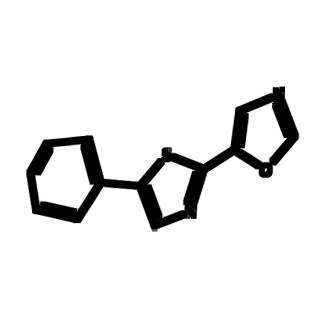 [c]1nc(-c2cnco2)sc1-c1ccccc1